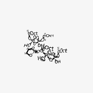 CCCCCCCCOP(=O)(O)OP(=O)(O)OCCCCCCCC.CCCCCCCCOP(=O)(O)OP(=O)(O)OCCCCCCCC.[O]=[Ti]1[O]CC[O]1